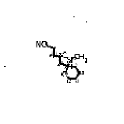 C[SiH](C)C1(CCCCC#N)CCCCO1